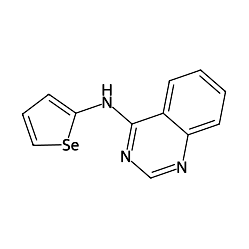 c1c[se]c(Nc2ncnc3ccccc23)c1